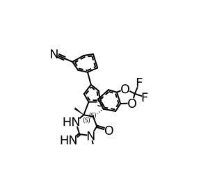 CN1C(=N)N[C@](C)(c2cc(-c3cccc(C#N)c3)cs2)[C@H](c2ccc3c(c2)OC(F)(F)O3)C1=O